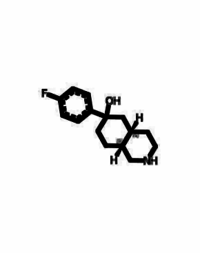 OC1(c2ccc(F)cc2)CC[C@H]2CNCC[C@H]2C1